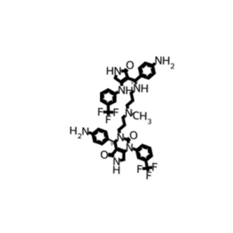 CN(CCCN[C@@H](C1=C(Nc2cccc(C(F)(F)F)c2)CNC1=O)c1ccc(N)cc1)CCCN1C(=O)N(c2cccc(C(F)(F)F)c2)C2=C(C(=O)NC2)[C@H]1c1ccc(N)cc1